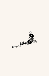 CCCCCN(C)CCCCO[C@H]1CC[C@H](N(C)C(=O)Oc2ccc(Cl)cc2)CC1